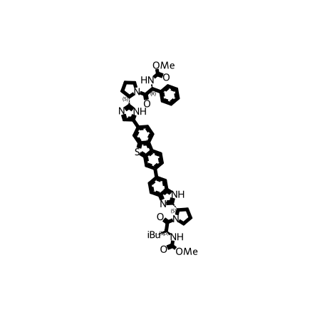 CC[C@H](C)[C@H](NC(=O)OC)C(=O)N1CCC[C@H]1c1nc2ccc(-c3ccc4c(c3)sc3cc(-c5cnc([C@@H]6CCCN6C(=O)[C@H](NC(=O)OC)c6ccccc6)[nH]5)ccc34)cc2[nH]1